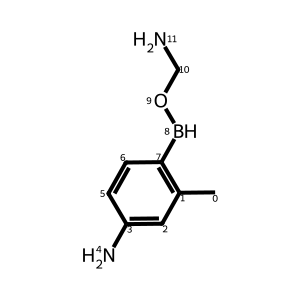 Cc1cc(N)ccc1BOCN